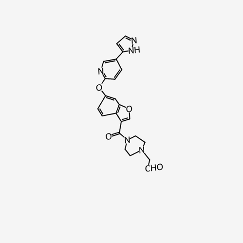 O=CCN1CCN(C(=O)c2coc3cc(Oc4ccc(-c5ccn[nH]5)cn4)ccc23)CC1